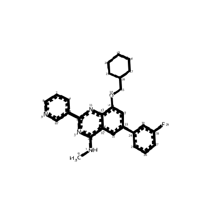 CNc1nc(-c2cccnc2)nc2c(OCC3CCCCC3)cc(-c3cccc(F)c3)cc12